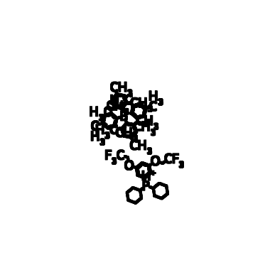 Cc1cc(C)c([B-](c2c(C)cc(C)cc2C)(c2c(C)cc(C)cc2C)c2c(C)cc(C)cc2C)c(C)c1.FC(F)(F)COc1cc(OCC(F)(F)F)cc([PH+](C2CCCCC2)C2CCCCC2)c1